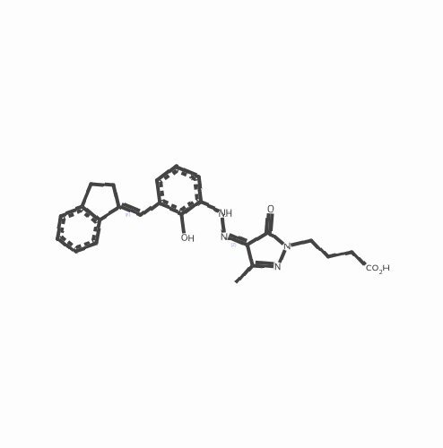 CC1=NN(CCCC(=O)O)C(=O)/C1=N\Nc1cccc(/C=C2\CCc3ccccc32)c1O